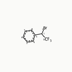 FC(F)(F)C(Br)c1ccccc1